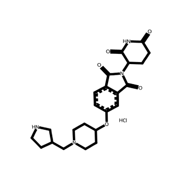 Cl.O=C1CCC(N2C(=O)c3ccc(OC4CCN(CC5CCNC5)CC4)cc3C2=O)C(=O)N1